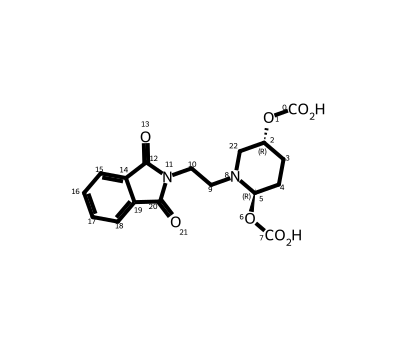 O=C(O)O[C@@H]1CC[C@@H](OC(=O)O)N(CCN2C(=O)c3ccccc3C2=O)C1